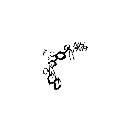 N=C(N)NC(=O)c1ccc(C2CCN(C(=O)c3ccc4cccnc4n3)CC2)c(C(F)(F)F)c1